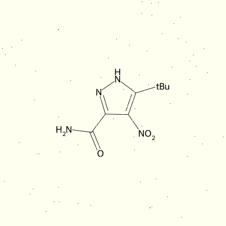 CC(C)(C)c1[nH]nc(C(N)=O)c1[N+](=O)[O-]